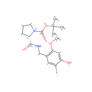 COc1cc(O)c(F)cc1CNC(=O)[C@@H]1CCCN1C(=O)OC(C)(C)C